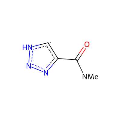 CNC(=O)c1[c][nH]nn1